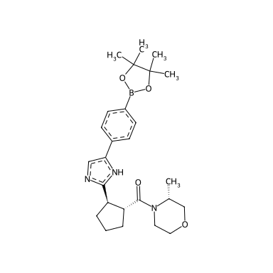 C[C@@H]1COCCN1C(=O)[C@@H]1CCC[C@H]1c1ncc(-c2ccc(B3OC(C)(C)C(C)(C)O3)cc2)[nH]1